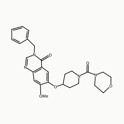 COc1cc2ncn(Cc3ccccc3)c(=O)c2cc1OC1CCN(C(=O)N2CCOCC2)CC1